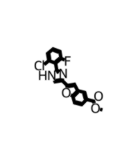 COC(=O)c1ccc2oc(-c3c[nH]c(-c4c(F)cccc4Cl)n3)cc2c1